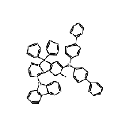 CC1CC2=C(C=C1N(c1ccc(-c3ccccc3)cc1)c1ccc(-c3ccccc3)cc1)C(c1ccccc1)(c1ccccc1)c1cccc(-n3c4ccc#cc4c4ccccc43)c12